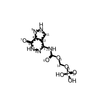 O=C(Nc1n[nH]c(=O)c2n[nH]cc12)OCOP(=O)(O)O